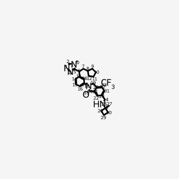 Cn1cnnc1C(CC1CCCC1)c1cccc(N2Cc3c(cc(CNC4(C)CCC4)cc3C(F)(F)F)C2=O)c1